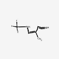 C/C(C=N)=C/NC(F)(F)F